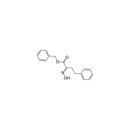 O=C(OCc1ccccc1)C(CCc1ccccc1)=NO